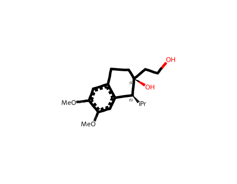 COc1cc2c(cc1OC)[C@H](C(C)C)[C@@](O)(CCO)CC2